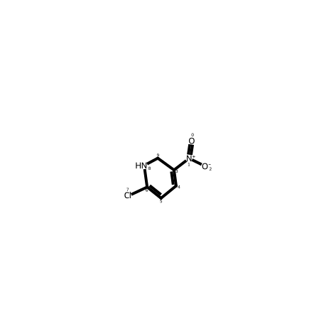 O=[N+]([O-])C1=CC=C(Cl)NC1